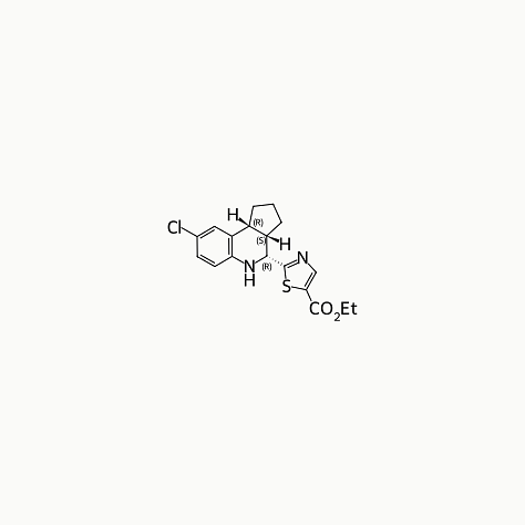 CCOC(=O)c1cnc([C@@H]2Nc3ccc(Cl)cc3[C@@H]3CCC[C@@H]32)s1